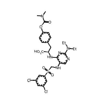 CCN(CC)c1ncc(NCS(=O)(=O)c2cc(Cl)cc(Cl)c2)c(NC(Cc2ccc(OC(=O)N(C)C)cc2)C(=O)O)n1